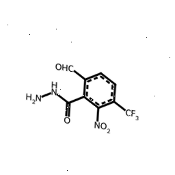 NNC(=O)c1c(C=O)ccc(C(F)(F)F)c1[N+](=O)[O-]